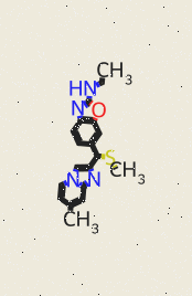 CCNc1nc2ccc(C(SC)c3cn4ccc(C)cc4n3)cc2o1